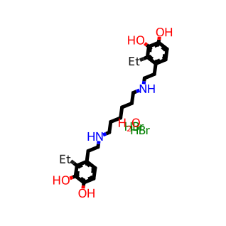 Br.Br.CCc1c(CCNCCCCCCNCCc2ccc(O)c(O)c2CC)ccc(O)c1O.O